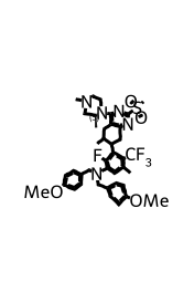 COc1ccc(CN(Cc2ccc(OC)cc2)c2cc(C)c(C(F)(F)F)c(C3Cc4nc(S(C)(=O)=O)nc(N5CCN(C)C[C@@H]5C)c4CC3C)c2F)cc1